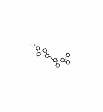 O=S(=O)(O)c1ccc2c(c1)c1ccccc1n2-c1cccc2c1oc1ccc(CCc3ccc4c(c3)c3ccccc3n4-c3ccc4c(c3)c3ccccc3n4-c3ccccc3)cc12